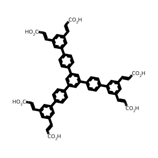 O=C(O)/C=C/c1cc(/C=C/C(=O)O)cc(-c2ccc(-c3cc(-c4ccc(-c5cc(/C=C/C(=O)O)cc(/C=C/C(=O)O)c5)cc4)cc(-c4ccc(-c5cc(/C=C/C(=O)O)cc(/C=C/C(=O)O)c5)cc4)c3)cc2)c1